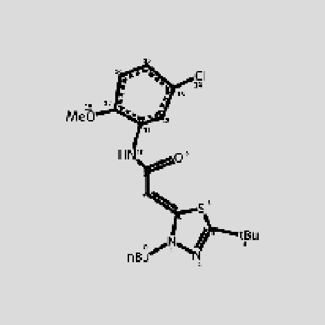 CCCCN1N=C(C(C)(C)C)S/C1=C\C(=O)Nc1cc(Cl)ccc1OC